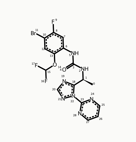 C[C@H](NC(=O)Nc1cc(F)c(Br)cc1OC(F)F)c1ncnn1-c1ncccn1